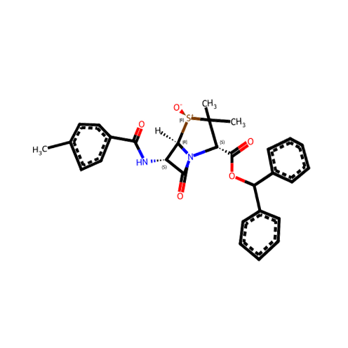 Cc1ccc(C(=O)N[C@H]2C(=O)N3[C@@H]2[S@@+]([O-])C(C)(C)[C@@H]3C(=O)OC(c2ccccc2)c2ccccc2)cc1